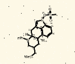 CCCN1CC(CSC)C[C@@H]2c3cccc4c3c(cn4OS(C)(=O)=O)C[C@H]21